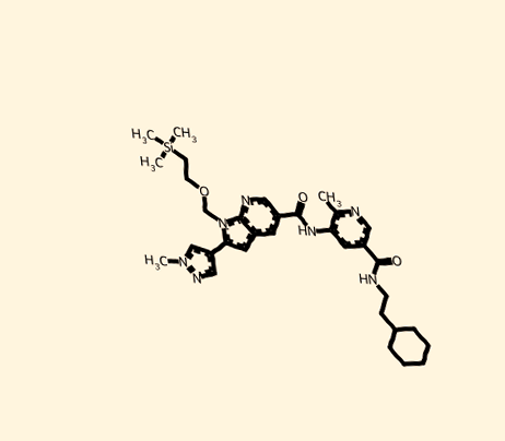 Cc1ncc(C(=O)NCCC2CCCCC2)cc1NC(=O)c1cnc2c(c1)cc(-c1cnn(C)c1)n2COCC[Si](C)(C)C